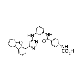 O=C(O)Nc1ccc(C(=O)Nc2cccc(Nc3cc(-c4cccc5c4oc4ccccc45)ncn3)c2)cc1